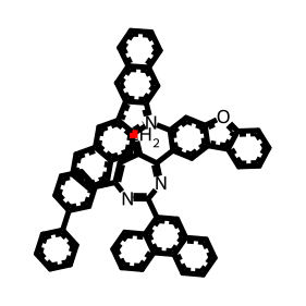 C=C1C=C(c2cccc(-c3ccccc3)c2)N=C(c2cc3ccccc3c3ccccc23)N=C1c1cc2c(cc1-n1c3cc4ccccc4cc3c3cc4ccccc4cc31)oc1ccccc12